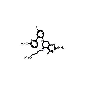 COCCO/N=C1\C[C@@H](c2ccc(F)cc2-c2cccc(OC)n2)Cc2nc(N)nc(C)c21